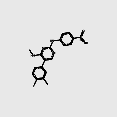 CNc1nc(Nc2ccc([SH](=N)=O)cc2)ncc1-c1ccc(F)c(C)c1